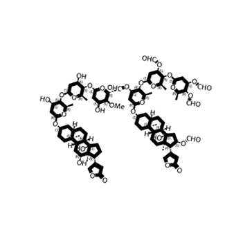 CO[C@H]1[C@@H](O)C[C@H](O[C@H]2[C@@H](O)C[C@H](O[C@H]3[C@@H](O)C[C@H](O[C@H]4CC[C@@]5(C)[C@H](CC[C@@H]6[C@@H]5C[C@@H](O)[C@]5(C)[C@@H](C7=CC(=O)OC7)CC[C@]65O)C4)O[C@@H]3C)O[C@@H]2C)O[C@@H]1C.C[C@H]1O[C@@H](O[C@H]2[C@@H](OC=O)C[C@H](O[C@H]3[C@@H](OC=O)C[C@H](O[C@H]4CC[C@@]5(C)[C@H](CC[C@@H]6[C@@H]5CC[C@]5(C)[C@@H](C7=CC(=O)OC7)[C@@H](OC=O)C[C@]65O)C4)O[C@@H]3C)O[C@@H]2C)C[C@H](OC=O)[C@@H]1OC=O